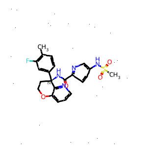 Cc1ccc([C@@]2(NC(=O)c3ccc(NS(C)(=O)=O)cn3)CCOc3cccnc32)cc1F